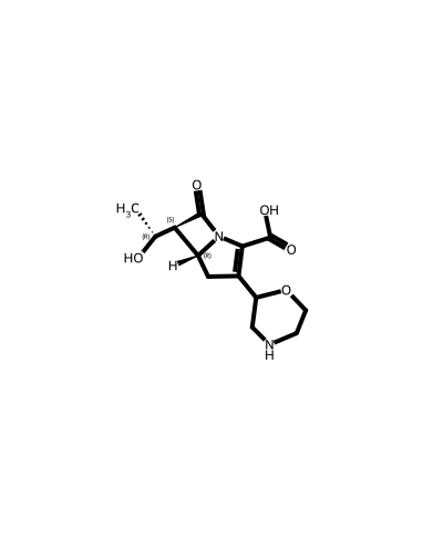 C[C@@H](O)[C@H]1C(=O)N2C(C(=O)O)=C(C3CNCCO3)C[C@H]12